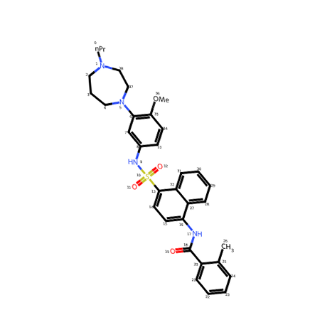 CCCN1CCCN(c2cc(NS(=O)(=O)c3ccc(NC(=O)c4ccccc4C)c4ccccc34)ccc2OC)CC1